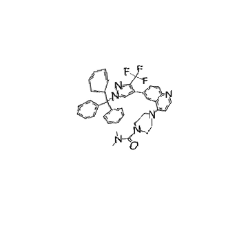 CN(C)C(=O)N1CCN(c2ccnc3ccc(-c4cn(C(c5ccccc5)(c5ccccc5)C5C=CC=CC5)nc4C(F)(F)F)cc23)CC1